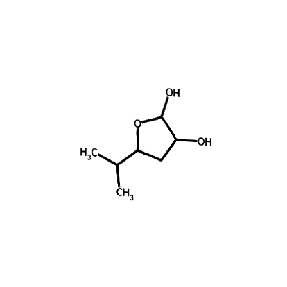 CC(C)C1CC(O)C(O)O1